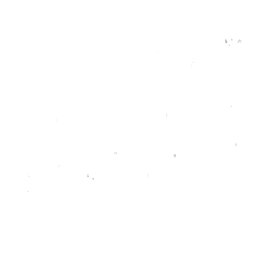 COC(=O)c1ccc(F)c(CCNC(=O)C(F)(F)F)c1